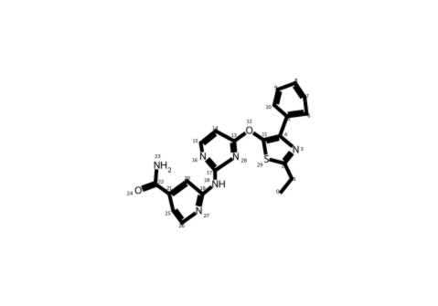 CCc1nc(-c2ccccc2)c(Oc2ccnc(Nc3cc(C(N)=O)ccn3)n2)s1